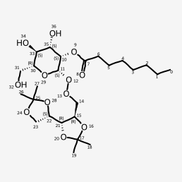 CCCCCCCC(=O)O[C@@H]1[C@H](OOC[C@H]2OC(C)(C)O[C@@H]2[C@@H]2COC(C)(C)O2)O[C@H](CO)[C@@H](O)[C@@H]1O